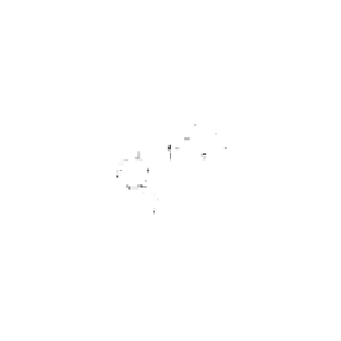 CCc1ccccc1CNC1CCCC1